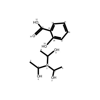 CC(O)N(C(C)O)C(C)O.O=C(O)c1ccccc1O